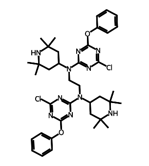 CC1(C)CC(N(CCN(c2nc(Cl)nc(Oc3ccccc3)n2)C2CC(C)(C)NC(C)(C)C2)c2nc(Cl)nc(Oc3ccccc3)n2)CC(C)(C)N1